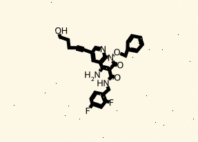 Nc1c(C(=O)NCc2ccc(F)cc2F)c(=O)n(OCc2ccccc2)c2ncc(C#CCCCO)cc12